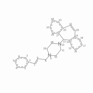 C(=Cc1ccccc1)CN1CCN(C2c3ccccc3C=Cc3ccccc32)CC1